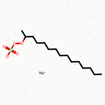 CCCCCCCCCCCCCC(C)OOS(=O)(=O)[O-].[Na+]